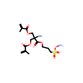 C=C(C)C(=O)OCC(CCCC)(COC(=O)C(=C)C)C(=O)OCCCS(=O)(=O)ON